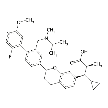 COc1cc(-c2ccc(C3CCc4ccc([C@H](C5CC5)[C@H](C)C(=O)O)cc4O3)cc2CN(C)C(C)C)c(F)cn1